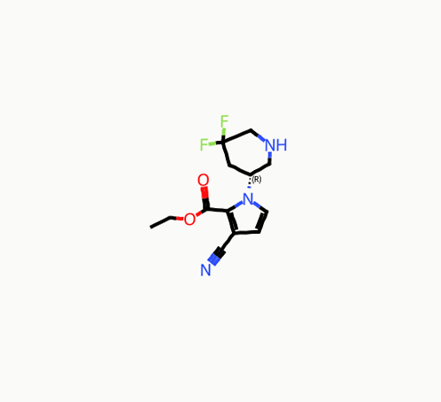 CCOC(=O)c1c(C#N)ccn1[C@H]1CNCC(F)(F)C1